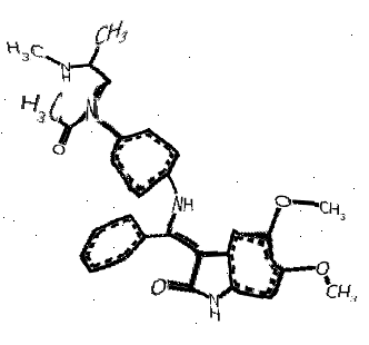 CNC(C)CN(C(C)=O)c1ccc(NC(=C2C(=O)Nc3cc(OC)c(OC)cc32)c2ccccc2)cc1